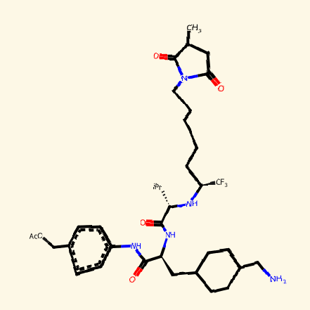 CC(=O)OCc1ccc(NC(=O)[C@H](CC2CCC(CN)CC2)NC(=O)[C@@H](N[C@@H](CCCCCN2C(=O)CC(C)C2=O)C(F)(F)F)C(C)C)cc1